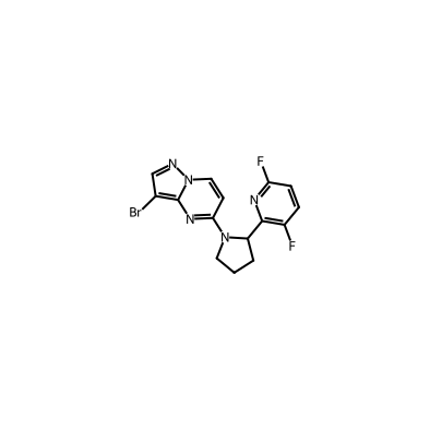 Fc1ccc(F)c(C2CCCN2c2ccn3ncc(Br)c3n2)n1